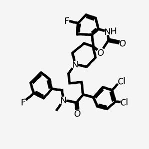 CN(Cc1cccc(F)c1)C(=O)C(CCCN1CCC2(CC1)OC(=O)Nc1ccc(F)cc12)c1ccc(Cl)c(Cl)c1